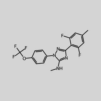 CNc1nc(-c2c(F)cc(C)cc2F)nn1-c1ccc(OC(F)(F)F)cc1